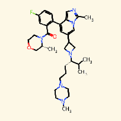 Cc1ncc2c(-c3ccc(F)cc3C(=O)N3CCOC[C@H]3C)cc(C3CN([C@@H](CCCN4CCN(C)CC4)C(C)C)C3)cn12